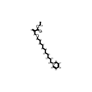 C=C(COCCCCCCCCCCC[n+]1ccccc1)C(=O)OCC